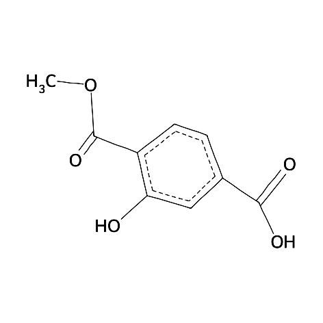 COC(=O)c1ccc(C(=O)O)cc1O